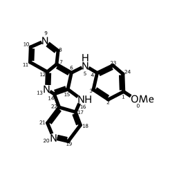 COc1ccc(Nc2c3cnccc3nc3c2[nH]c2ccncc23)cc1